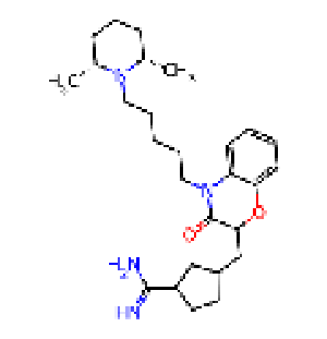 C[C@@H]1CCC[C@H](C)N1CCCCCN1C(=O)C(CC2CCC(C(=N)N)C2)Oc2ccccc21